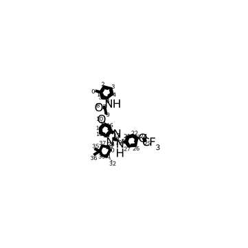 Cc1cccc(NC(=O)COc2ccc3c(c2)nc(Nc2ccc(OC(F)(F)F)cc2)n3[C@@H]2C[C@H](C)CC(C)(C)C2)c1